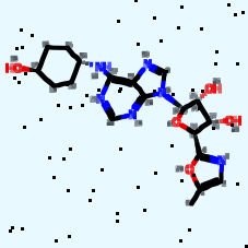 Cc1cnc([C@H]2O[C@@H](n3cnc4c(N[C@H]5CC[C@H](O)CC5)ncnc43)[C@H](O)[C@@H]2O)o1